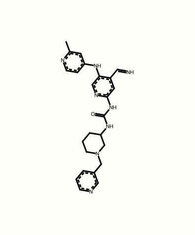 Cc1cc(Nc2cnc(NC(=O)NC3CCCN(Cc4cccnc4)C3)cc2C=N)ccn1